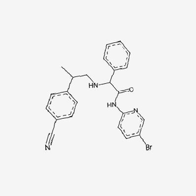 CC(CNC(C(=O)Nc1ccc(Br)cn1)c1ccccc1)c1ccc(C#N)cc1